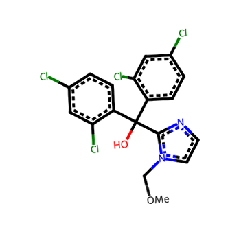 COCn1ccnc1C(O)(c1ccc(Cl)cc1Cl)c1ccc(Cl)cc1Cl